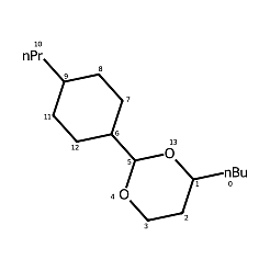 CCCCC1CCOC(C2CCC(CCC)CC2)O1